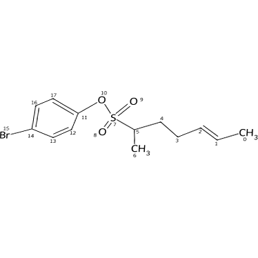 CC=CCCC(C)S(=O)(=O)Oc1ccc(Br)cc1